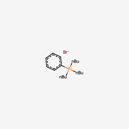 CCCC[P+](CCCC)(CCCC)c1ccccc1.[Br-]